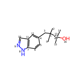 CC(C)(Cc1ccc2[nH]ncc2c1)[Si](C)(C)O